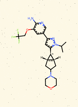 CC(C)n1nc(-c2cnc(N)c(OCC(F)(F)F)c2)cc1[C@H]1[C@@H]2CC(N3CCOCC3)C[C@@H]21